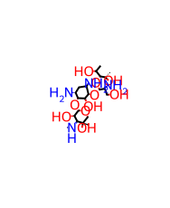 CNC1[C@@H](O)C(O[C@H]2C(O)[C@H](O[C@@H](OC(C(C)O)[C@H](C)O)[C@@H](N)CO)C(N)C[C@H]2N)OC[C@]1(C)O